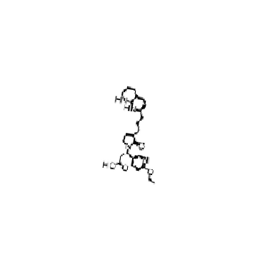 CCOc1ccc([C@H](CC(=O)O)N2CCC(CCCC3=CC=C4CCCNC4N3)C2=O)cn1